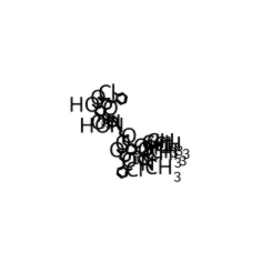 CN1CC[C@H](c2c(O)cc(OC(=O)CCN3CC[C@H](c4c(O)cc(O)c5c(=O)cc(-c6ccccc6Cl)oc45)[C@H](O)C3)c3c(=O)cc(-c4ccccc4Cl)oc23)C(O[Si](C)(C)C(C)(C)C)C1